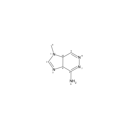 CN1C=NC2C(N)=NN=CC21